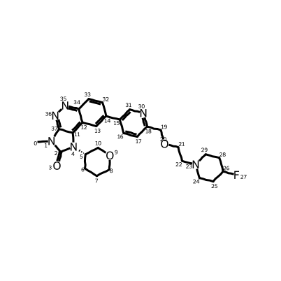 Cn1c(=O)n([C@H]2CCCOC2)c2c3cc(-c4ccc(COCCN5CCC(F)CC5)nc4)ccc3nnc21